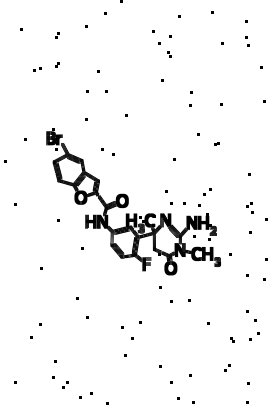 CN1C(=O)CC(C)(c2cc(NC(=O)c3cc4cc(Br)ccc4o3)ccc2F)N=C1N